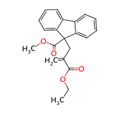 C=C(CC1(C(=O)OC)c2ccccc2-c2ccccc21)C(=O)OCC